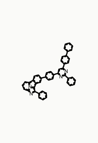 c1ccc(-c2ccc(-c3cc(-c4ccc(-c5ccc6c(c5)c5c(-c7ccccc7)nc7cccc6n75)cc4)nc(-c4ccccc4)n3)cc2)cc1